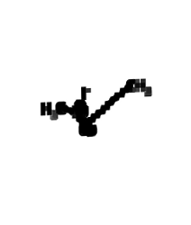 CCCCCCCCCCCCCCCCCCN1C(=CC=Cc2oc3ccccc3[n+]2CCCCC)Oc2ccccc21.[I-]